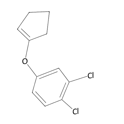 Clc1ccc(OC2=CCCC2)cc1Cl